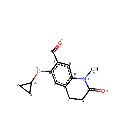 CN1C(=O)CCc2cc(OC3CC3)c(C=O)cc21